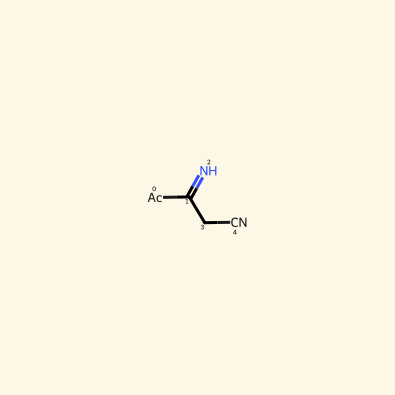 CC(=O)C(=N)CC#N